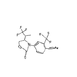 CC(C1COC(=O)N1c1ccc(C#N)c(C(F)(F)F)c1)C(F)(F)F